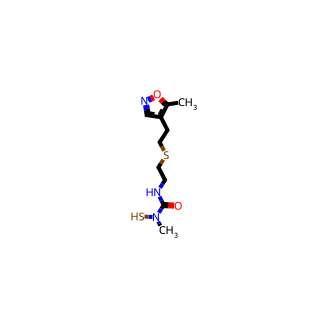 Cc1oncc1CCSCCNC(=O)N(C)S